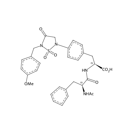 COc1ccc(CN2C(=O)CN(c3ccc(C[C@H](NC(=O)[C@H](Cc4ccccc4)NC(C)=O)C(=O)O)cc3)S2(=O)=O)cc1